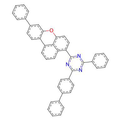 c1ccc(-c2ccc(-c3nc(-c4ccccc4)nc(-c4ccc5c6c(cccc46)-c4ccc(-c6ccccc6)cc4O5)n3)cc2)cc1